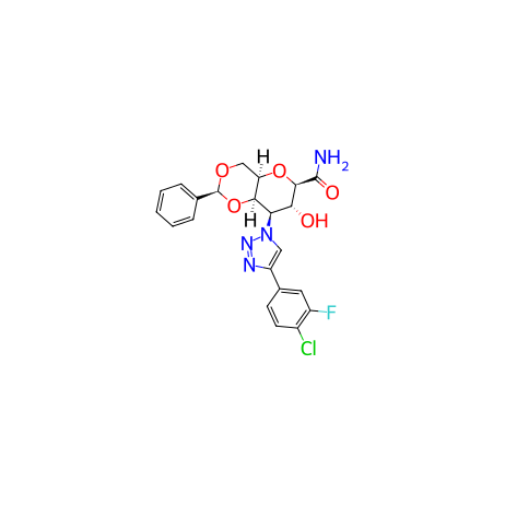 NC(=O)[C@@H]1O[C@@H]2CO[C@H](c3ccccc3)O[C@@H]2[C@H](n2cc(-c3ccc(Cl)c(F)c3)nn2)[C@H]1O